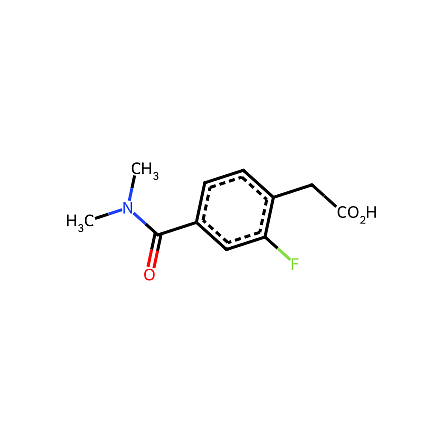 CN(C)C(=O)c1ccc(CC(=O)O)c(F)c1